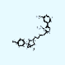 Cc1cncc(-c2nnc(SCCCN3C[C@H]4C[C@]4(c4ccc(Br)cc4)C3)n2C)c1